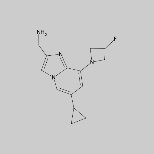 NCc1cn2cc(C3CC3)cc(N3CC(F)C3)c2n1